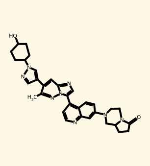 Cc1nn2c(-c3ccnc4cc(N5CCN6C(=O)CCC6C5)ccc34)cnc2cc1-c1cnn(C2CCC(O)CC2)c1